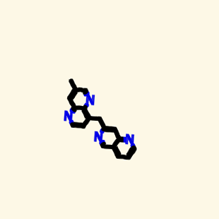 Cc1cnc2c(Cc3cc4ncccc4cn3)ccnc2c1